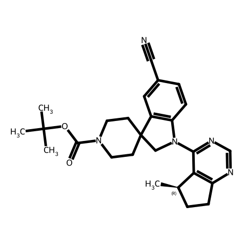 C[C@@H]1CCc2ncnc(N3CC4(CCN(C(=O)OC(C)(C)C)CC4)c4cc(C#N)ccc43)c21